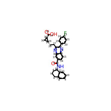 O=C(N[C@@H]1CCCc2ccccc21)c1ccc2nc(-c3ccc(F)cc3)c(CC[C@@H]3C[C@H]3C(=O)O)nc2c1